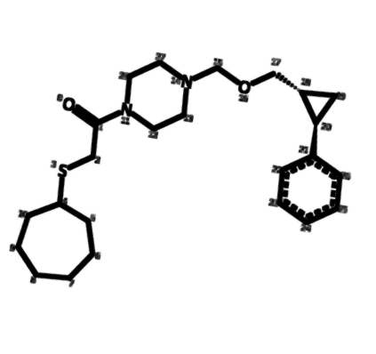 O=C(CSC1CCCCCC1)N1CCN(COC[C@@H]2C[C@H]2c2ccccc2)CC1